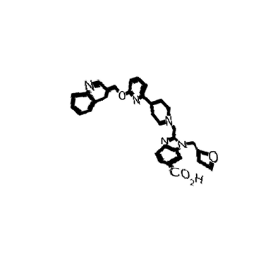 O=C(O)c1ccc2nc(CN3CCC(c4cccc(OCc5cnc6ccccc6c5)n4)CC3)n(C[C@@H]3CCO3)c2c1